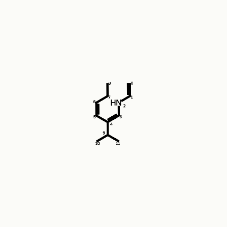 C=CN/C=C(\C=C/CC)C(C)C